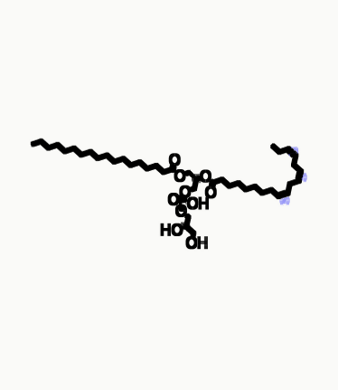 CC/C=C\C/C=C\C/C=C\CCCCCCCC(=O)O[C@H](COC(=O)CCCCCCCCCCCCCCCCC)COP(=O)(O)OC[C@@H](O)CO